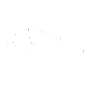 Cc1nc([C@@](C)(O)c2cc(Cl)c(F)c(C(=O)NC3(CN4CCN(CC5CC5)CC4)CC3)c2OC(C)C)n2ccnc(N)c12